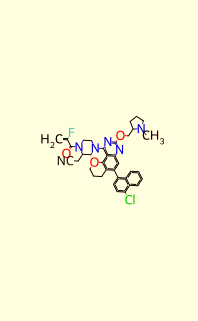 C=C(F)C(=O)N1CCN(c2nc(OCC3CCCN3C)nc3cc(-c4ccc(Cl)c5ccccc45)c4c(c23)OCCC4)CC1CC#N